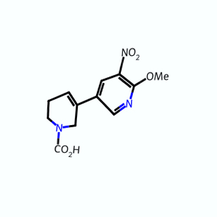 COc1ncc(C2=CCCN(C(=O)O)C2)cc1[N+](=O)[O-]